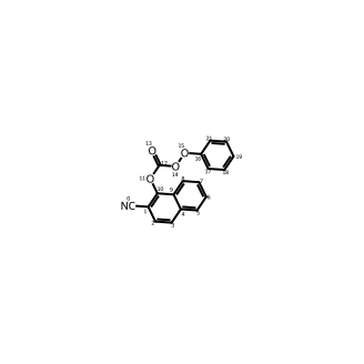 N#Cc1ccc2ccccc2c1OC(=O)OOc1ccccc1